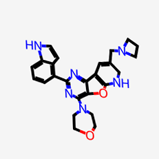 C1=C(CN2CCC2)CNc2oc3c(N4CCOCC4)nc(-c4cccc5[nH]ccc45)nc3c21